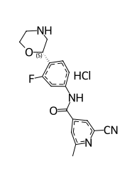 Cc1cc(C(=O)Nc2ccc([C@H]3CNCCO3)c(F)c2)cc(C#N)n1.Cl